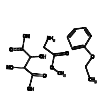 CCOc1ccccc1.COC(=O)CN.O=C(O)C(O)C(O)C(=O)O